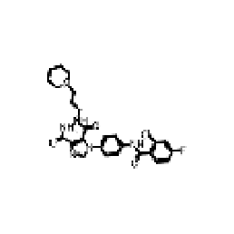 NC(=O)c1ncn(-c2ccc(NC(=O)c3ccc(F)cc3Cl)cc2)c1C(=O)NCCCN1CCCCC1